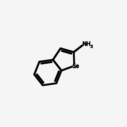 Nc1cc2ccccc2[se]1